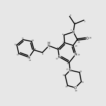 CC(C)N1Cc2c(NCc3ccccn3)nc(N3CCOCC3)nc2C1=O